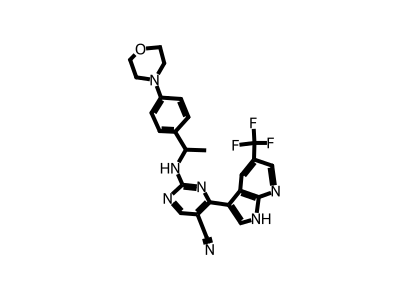 CC(Nc1ncc(C#N)c(-c2c[nH]c3ncc(C(F)(F)F)cc23)n1)c1ccc(N2CCOCC2)cc1